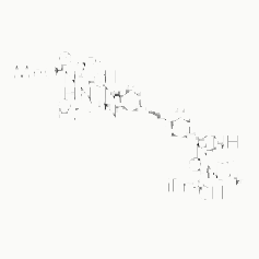 COC(=O)N[C@H](C(=O)N1C[C@]2(CCCO2)C[C@H]1c1nc2cc(C#Cc3ccc(-c4c[nH]c([C@@H]5C[C@H](F)CN5C(=O)[C@@H](C)C(C)C)n4)cc3)ccc2[nH]1)C(C)C